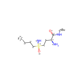 CCCCNC(=O)[C@@H](N)CCS(=N)(=O)CCCC(F)(F)F